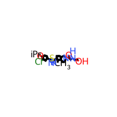 Cc1c(-c2nnc(-c3ccc(OC(C)C)c(Cl)c3)s2)ccc2c1CCN(C(=O)CNCCO)C2